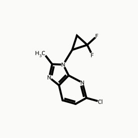 Cc1nc2ccc(Cl)nc2n1C1CC1(F)F